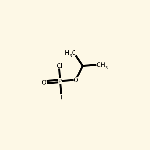 CC(C)OP(=O)(Cl)I